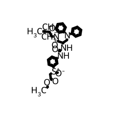 CCOC(=O)C[S+]([O-])c1cccc(NC(=O)NC2CN(c3ccccc3)c3ccccc3N(CC(=O)C(C)(C)C)C2=O)c1